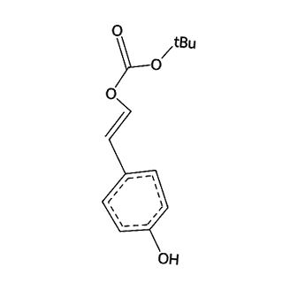 CC(C)(C)OC(=O)OC=Cc1ccc(O)cc1